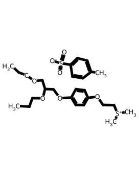 CCCOCC(COc1ccc(OCC[S+](C)C)cc1)OCCC.Cc1ccc(S(=O)(=O)[O-])cc1